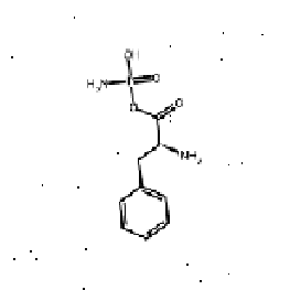 N[C@@H](Cc1ccccc1)C(=O)OP(N)(=O)O